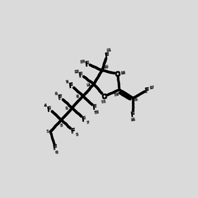 FCC(F)(F)C(F)(F)C(F)(F)C1(F)OC(=C(F)F)OC1(F)F